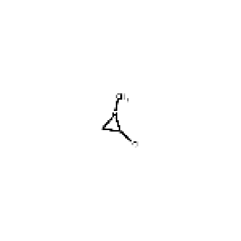 CN1CC1Cl